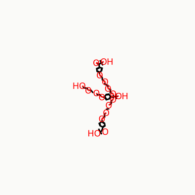 CC(C)(O)C(=O)c1ccc(OCCOCCOCCOC(OCCOCCOCCOc2ccc(C(=O)C(C)(C)O)cc2)(c2ccc(OCCOCCOCCO)cc2)C(C)(C)O)cc1